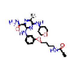 C#CC(=O)NCCCCOc1cccc(Nc2nc(NC3CCOCC3)c(CC)nc2C(N)=O)c1